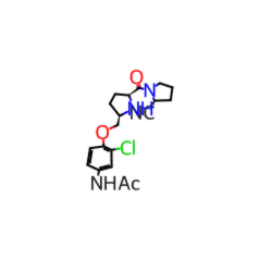 CC(=O)Nc1ccc(OC[C@H]2CC[C@@H](C(=O)N3CCC[C@H]3C#N)N2)c(Cl)c1